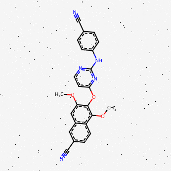 COc1cc2cc(C#N)ccc2c(OC)c1Oc1ccnc(Nc2ccc(C#N)cc2)n1